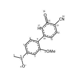 COc1cc([S+](C)[O-])ccc1-c1ccc(C#N)c(=O)[nH]1